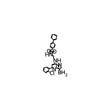 Bc1cnn2c(NCCNS(=O)(=O)c3ccc(-c4ccccc4)cc3)cc(-c3ccccc3Cl)nc12